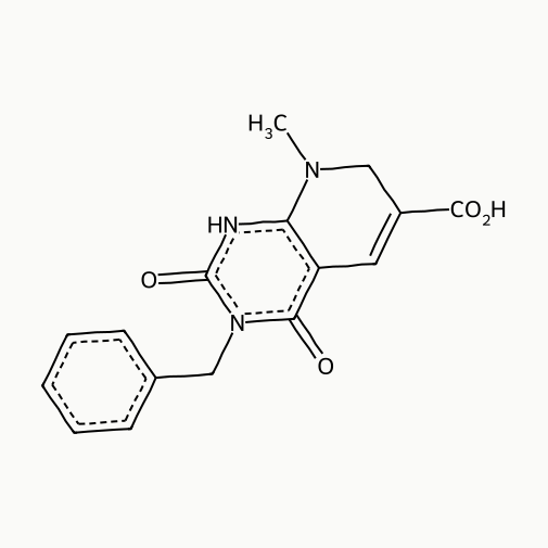 CN1CC(C(=O)O)=Cc2c1[nH]c(=O)n(Cc1ccccc1)c2=O